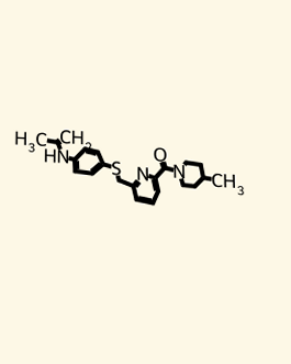 C=C(C)Nc1ccc(SCc2cccc(C(=O)N3CCC(C)CC3)n2)cc1